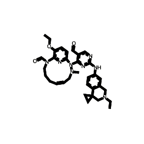 CCOc1ccc2nc1N(C=O)CCC/C=C\CN(C)N2c1nc(Nc2ccc3c(c2)CN(CC)CC32CC2)ncc1C=O